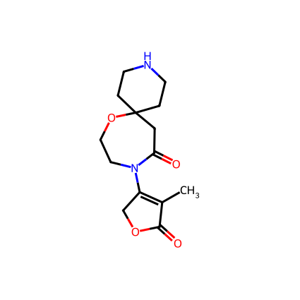 CC1=C(N2CCOC3(CCNCC3)CC2=O)COC1=O